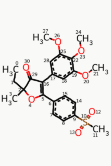 CCC1(C)OC(c2ccc(S(C)(=O)=O)cc2)=C(c2cc(OC)c(OC)c(OC)c2)C1=O